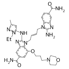 CCn1nc(C)cc1Nc1nc2cc(C(N)=O)cc(OCCCN3CCOCC3)c2n1C/C=C/Cn1c(N)nc2cc(C(N)=O)ccc21